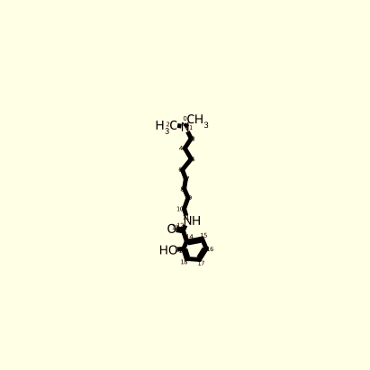 CN(C)CCCCCCCCNC(=O)c1ccccc1O